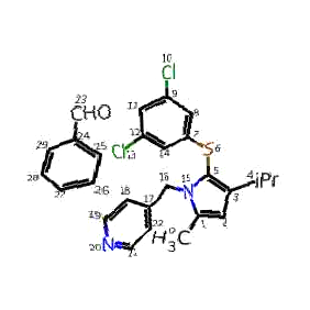 Cc1cc(C(C)C)c(Sc2cc(Cl)cc(Cl)c2)n1Cc1ccncc1.O=Cc1ccccc1